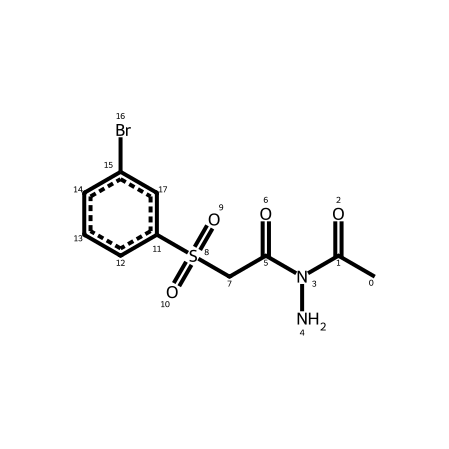 CC(=O)N(N)C(=O)CS(=O)(=O)c1cccc(Br)c1